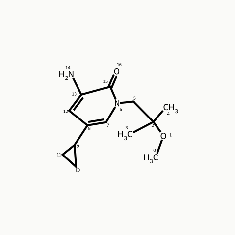 COC(C)(C)Cn1cc(C2CC2)cc(N)c1=O